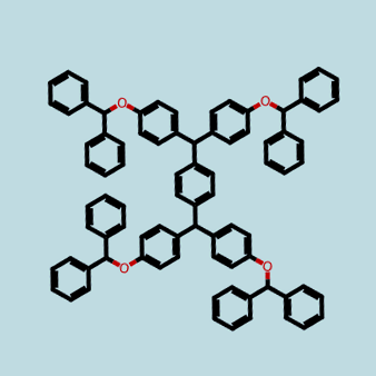 c1ccc(C(Oc2ccc(C(c3ccc(OC(c4ccccc4)c4ccccc4)cc3)c3ccc(C(c4ccc(OC(c5ccccc5)c5ccccc5)cc4)c4ccc(OC(c5ccccc5)c5ccccc5)cc4)cc3)cc2)c2ccccc2)cc1